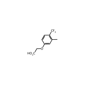 Cc1cc(OCC(=O)O)ccc1C(F)(F)F